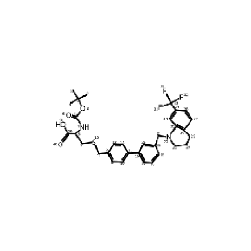 CC(C)(C)OC(=O)NC(CSCc1ccc(-c2cccc(CN3CCCc4ccc(C(F)(F)F)cc43)c2)cc1)C(=O)O